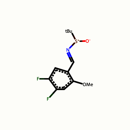 COc1cc(F)c(F)cc1C=N[S+]([O-])C(C)(C)C